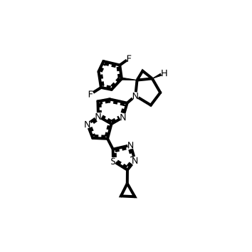 Fc1ccc(F)c([C@@]23C[C@@H]2CCN3c2ccn3ncc(-c4nnc(C5CC5)s4)c3n2)c1